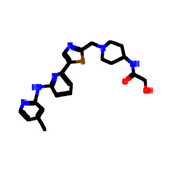 Cc1ccnc(Nc2cccc(-c3cnc(CN4CCC(NC(=O)CO)CC4)s3)n2)c1